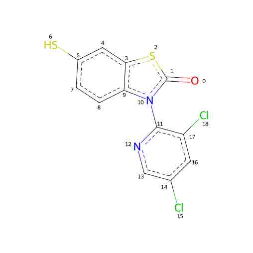 O=c1sc2cc(S)ccc2n1-c1ncc(Cl)cc1Cl